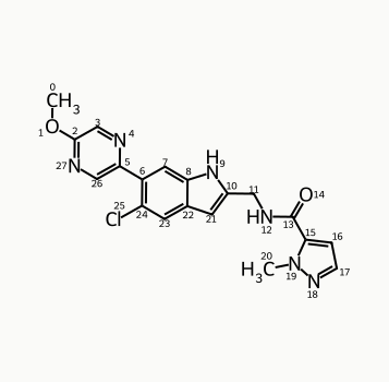 COc1cnc(-c2cc3[nH]c(CNC(=O)c4ccnn4C)cc3cc2Cl)cn1